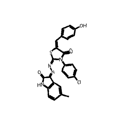 Cc1ccc2c(c1)C(=NN=C1SC(=Cc3ccc(O)cc3)C(=O)N1c1ccc(Cl)cc1)C(=O)N2